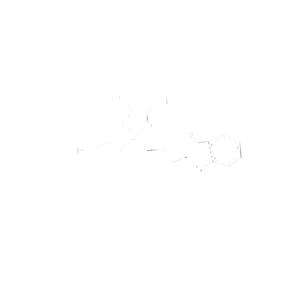 CCO[Si](CCCC1=Nc2ccccc2S1=S)(OCC)OCC